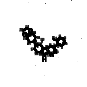 Cc1ccccc1-c1cc2c3c([nH]c2nn1)CCN(C1CCC2(CC1)OCCO2)[C@@H]3C